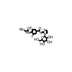 CC(C)(C)CC(=O)Nc1c(F)cc(C(=O)N=c2sccn2C2OC(CO)C(O)C(O)C2O)cc1F